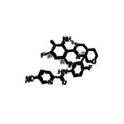 CC(C)[C@H]1C[C@@H](F)C(C)C(N)C1C1=N[C@@]2(c3cc(NC(=O)c4ccc(C#N)cn4)ccc3F)COCCC2CS1